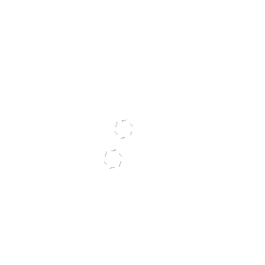 CCCCCCCC1CCC(c2ccc(-c3ccc(C4CCC(CCC)CC4)cc3)cc2)CC1